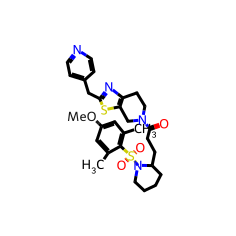 COc1cc(C)c(S(=O)(=O)N2CCCCC2CCC(=O)N2CCc3nc(Cc4ccncc4)sc3C2)c(C)c1